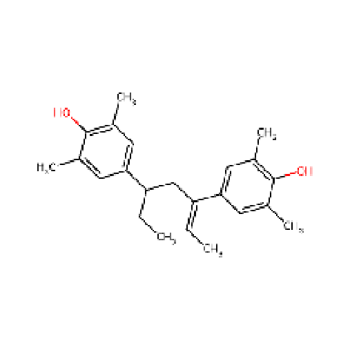 CC=C(CC(CC)c1cc(C)c(O)c(C)c1)c1cc(C)c(O)c(C)c1